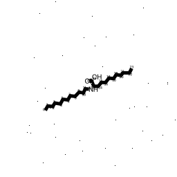 CCCCCCCCCCCCNC(CCCCCCCCCC)C(=O)O